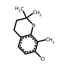 Cc1c(Cl)ccc2c1[N]C(C)(C)CC2